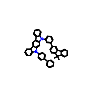 CC1(C)c2ccccc2-c2cc(-c3cccc(-n4c5ccccc5c5cc6c7ccccc7n(-c7ccc(-c8ccccc8)cc7)c6cc54)c3)ccc21